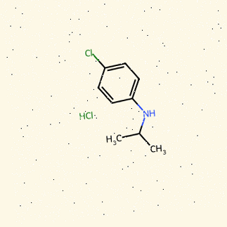 CC(C)Nc1ccc(Cl)cc1.Cl